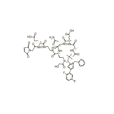 CC(=O)N[C@@H](C)C(=O)N[C@H](CC(=O)O)C(=O)N[C@@H](CC(N)=O)C(=O)N[C@@H](CCN(C(=O)CO)[C@@H](c1cc(-c2cc(F)ccc2F)cn1Cc1ccccc1)C(C)(C)C)C(=O)NCCNC(=O)[C@@H](CCC(=O)O)NC(=O)CN1C(=O)C=CC1=O